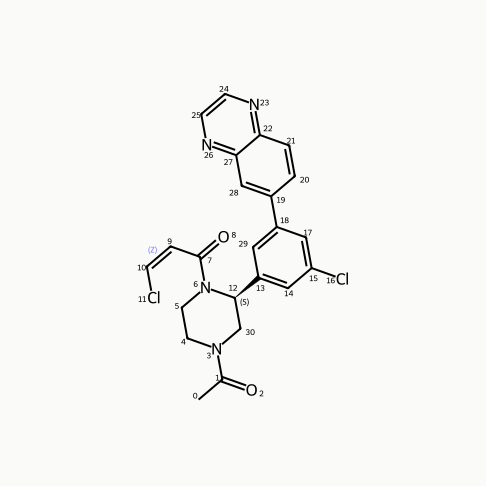 CC(=O)N1CCN(C(=O)/C=C\Cl)[C@@H](c2cc(Cl)cc(-c3ccc4nccnc4c3)c2)C1